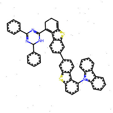 C1=c2sc3cc(-c4ccc5c(c4)sc4cccc(-n6c7ccccc7c7ccccc76)c45)ccc3c2=C(C2=NC(c3ccccc3)=NC(c3ccccc3)N2)CC1